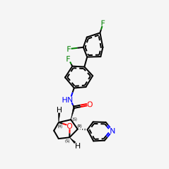 O=C(Nc1ccc(-c2ccc(F)cc2F)c(F)c1)[C@H]1[C@H](c2ccncc2)[C@@H]2CC[C@H]1O2